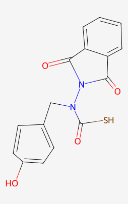 O=C(S)N(Cc1ccc(O)cc1)N1C(=O)c2ccccc2C1=O